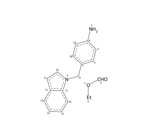 CCOC=O.Nc1ccc(Cn2ccc3ccccc32)cc1